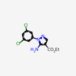 CCOC(=O)c1cnn(-c2cc(Cl)cc(Cl)c2)c1N